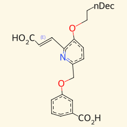 CCCCCCCCCCCCOc1ccc(COc2cccc(C(=O)O)c2)nc1/C=C/C(=O)O